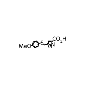 COc1ccc(SCc2cc(C(=O)O)no2)cc1